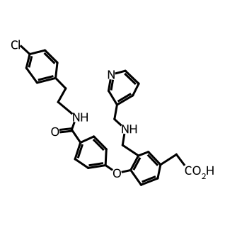 O=C(O)Cc1ccc(Oc2ccc(C(=O)NCCc3ccc(Cl)cc3)cc2)c(CNCc2cccnc2)c1